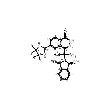 BC(B)(c1n[nH]c(=O)c2ccc(B3OC(C)(C)C(C)(C)O3)cc12)N1C(=O)c2ccccc2C1=O